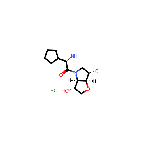 Cl.N[C@H](C(=O)N1C[C@H](Cl)[C@H]2OC[C@H](O)[C@H]21)C1CCCC1